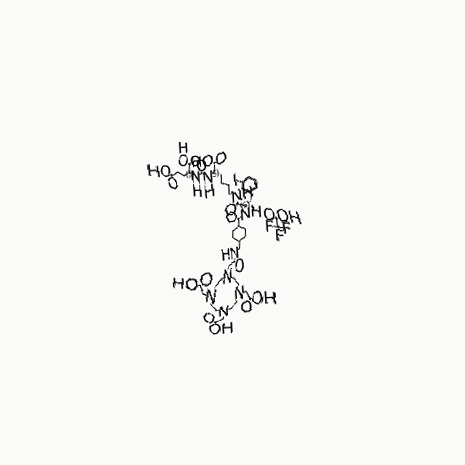 O=C(O)C(F)(F)F.O=C(O)CC[C@H](NC(=O)N[C@@H](CCCCNC(=O)[C@H](Cc1cccc(I)c1)NC(=O)C1CCC(CNC(=O)CN2CCN(CC(=O)O)CCN(CC(=O)O)CCN(CC(=O)O)CC2)CC1)C(=O)O)C(=O)O